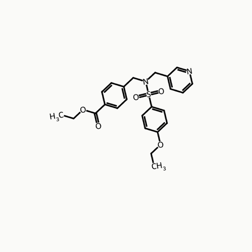 CCOC(=O)c1ccc(CN(Cc2cccnc2)S(=O)(=O)c2ccc(OCC)cc2)cc1